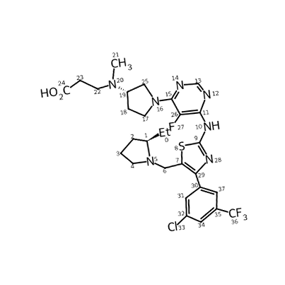 CC[C@@H]1CCCN1Cc1sc(Nc2ncnc(N3CC[C@H](N(C)CCC(=O)O)C3)c2F)nc1-c1cc(Cl)cc(C(F)(F)F)c1